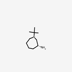 CC(C)(C)N1CCCC[C@@H](N)C1